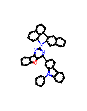 c1ccc(-n2c3ccccc3c3ccc(-c4nc(N5c6cc7ccccc7cc6-c6cccc7cccc5c67)nc5c4oc4ccccc45)cc32)cc1